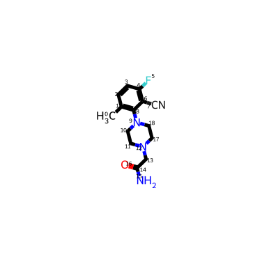 Cc1ccc(F)c(C#N)c1N1CCN(CC(N)=O)CC1